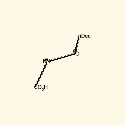 CCCCCCCCCCCCCCCCCCOC(=O)CCCCCCCCCCCCCCCN1CCN=C1CCCCCCCCCCCCCCC(=O)O